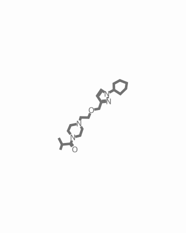 CC(C)C(=O)N1CCN(CCOCc2ccn(C3CCCCC3)n2)CC1